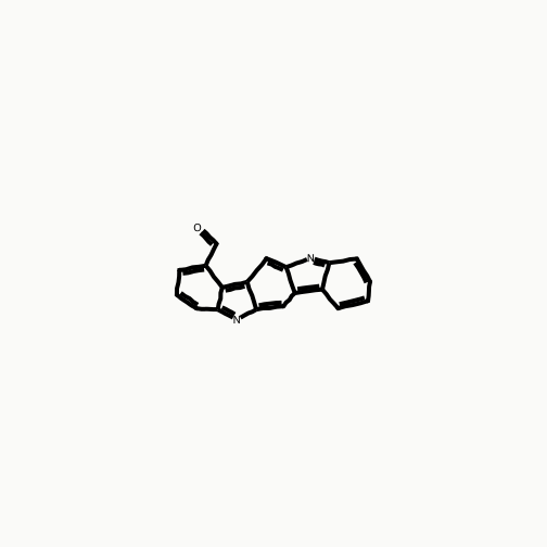 O=Cc1cccc2c1=c1cc3c(cc1N=2)=c1ccccc1=N3